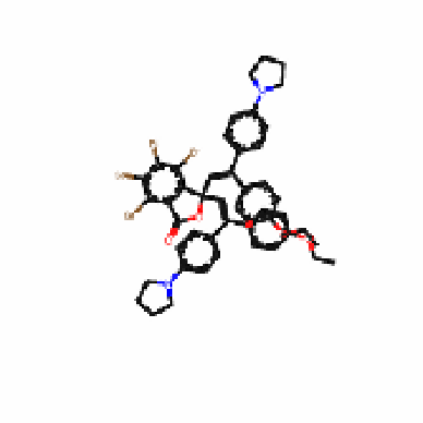 CCOc1ccc(C(=CC2(C=C(c3ccc(OCC)cc3)c3ccc(N4CCCC4)cc3)OC(=O)c3c(Br)c(Br)c(Br)c(Br)c32)c2ccc(N3CCCC3)cc2)cc1